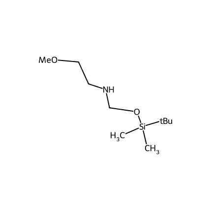 COCCNCO[Si](C)(C)C(C)(C)C